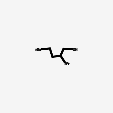 CCCCCCC(CO)CCC